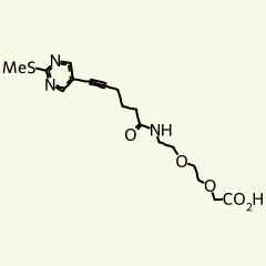 CSc1ncc(C#CCCCC(=O)NCCOCCOCC(=O)O)cn1